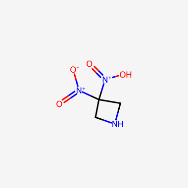 O=[N+]([O-])C1([N+](=O)O)CNC1